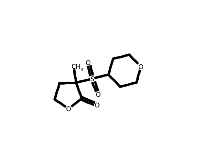 CC1(S(=O)(=O)C2CCOCC2)CCOC1=O